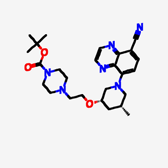 C[C@@H]1C[C@H](OCCN2CCN(C(=O)OC(C)(C)C)CC2)CN(c2ccc(C#N)c3nccnc23)C1